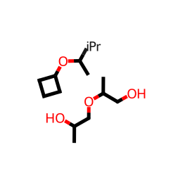 CC(C)C(C)OC1CCC1.CC(O)COC(C)CO